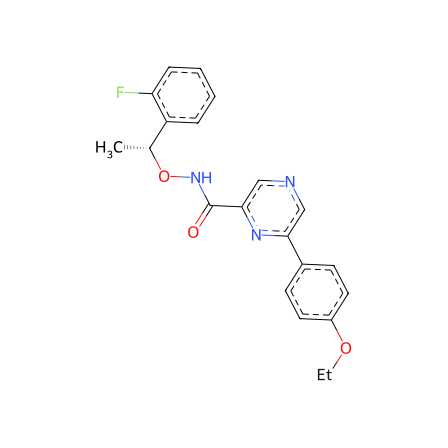 CCOc1ccc(-c2cncc(C(=O)NO[C@H](C)c3ccccc3F)n2)cc1